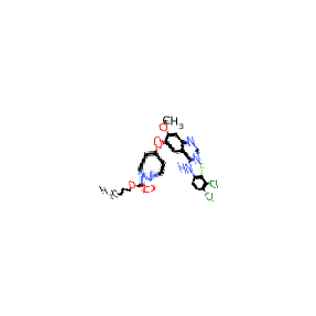 CCCCOC(=O)N1CCC(Oc2cc3c(Nc4ccc(Cl)c(Cl)c4F)ncnc3cc2OC)CC1